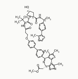 COC(=O)C[C@@H]1N=C(c2ccc(-c3ccc(OCCC(=O)N[C@H](C(=O)N4C[C@H](O)C[C@H]4C(=O)N[C@@H](C)c4ccc(-c5scnc5C)cc4)C(C)(C)C)cc3)cc2)c2c(sc(C)c2C)-n2c(C)nnc21